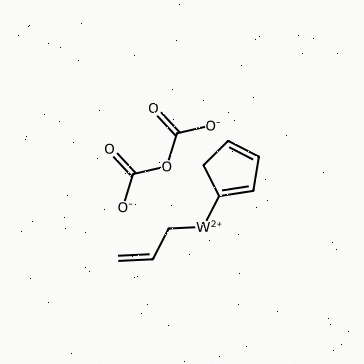 C=C[CH2][W+2][C]1=CC=CC1.O=C([O-])OC(=O)[O-]